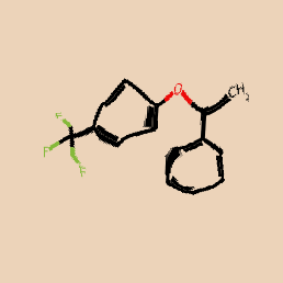 C=C(Oc1ccc(C(F)(F)F)cc1)c1ccccc1